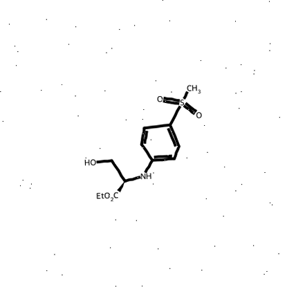 CCOC(=O)[C@@H](CO)Nc1ccc(S(C)(=O)=O)cc1